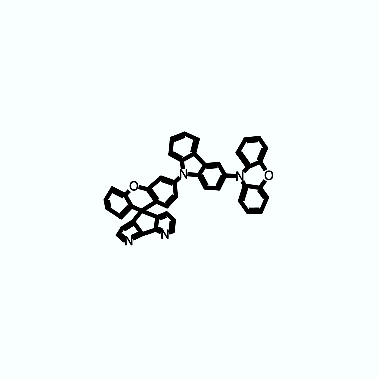 c1ccc2c(c1)Oc1ccccc1N2c1ccc2c(c1)c1ccccc1n2-c1ccc2c(c1)Oc1ccccc1C21c2cccnc2-c2ncccc21